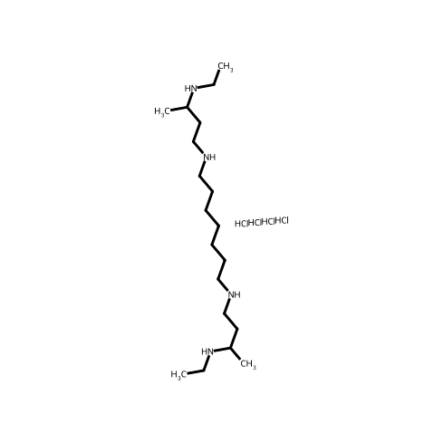 CCNC(C)CCNCCCCCCCNCCC(C)NCC.Cl.Cl.Cl.Cl